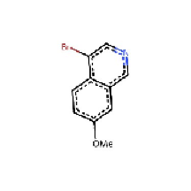 COc1ccc2c(Br)cncc2c1